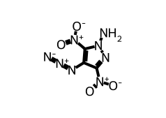 [N-]=[N+]=Nc1c([N+](=O)[O-])nn(N)c1[N+](=O)[O-]